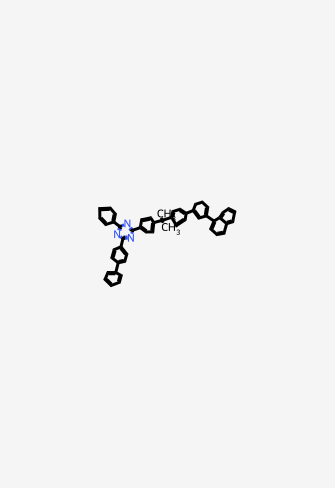 CC(C)(c1ccc(C2=CC(c3cccc4ccccc34)=CCC2)cc1)c1ccc(-c2nc(-c3ccccc3)nc(-c3ccc(-c4ccccc4)cc3)n2)cc1